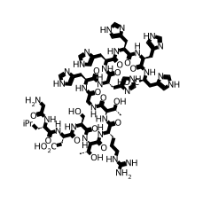 CC(C)C[C@H](NC(=O)CN)C(=O)N[C@@H](CC(=O)O)C(=O)N[C@@H](CO)C(=O)N[C@H](C(=O)N[C@@H](CCCNC(=N)N)C(=O)N[C@H](C(=O)NCC(=O)N[C@@H](Cc1c[nH]cn1)C(=O)N[C@@H](Cc1c[nH]cn1)C(=O)N[C@@H](Cc1c[nH]cn1)C(=O)N[C@@H](Cc1c[nH]cn1)C(=O)N[C@@H](Cc1c[nH]cn1)C(=O)N[C@@H](Cc1c[nH]cn1)C(=O)O)[C@@H](C)O)[C@@H](C)O